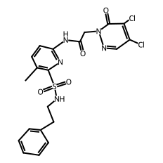 Cc1ccc(NC(=O)Cn2ncc(Cl)c(Cl)c2=O)nc1S(=O)(=O)NCCc1ccccc1